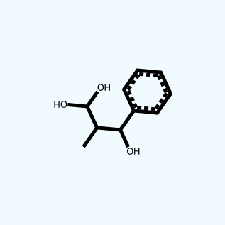 CC(C(O)O)C(O)c1ccccc1